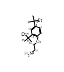 CCC(C)(C)c1ccc(OCCN)c(C(C)(C)CC)c1